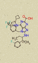 CCC(Nc1nc2nc(C(=O)O)nc(N[C@H](C)C3CCC3)c2n1Cc1ccc(C(F)(F)F)cc1)[C@@H](C)c1cccc(F)c1